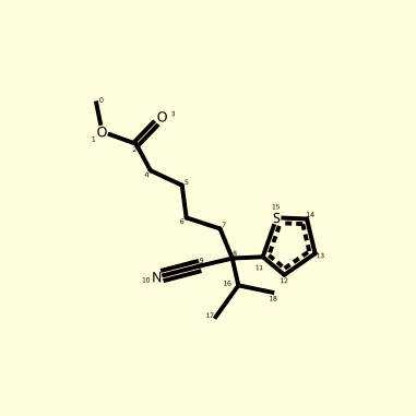 COC(=O)CCCCC(C#N)(c1cccs1)C(C)C